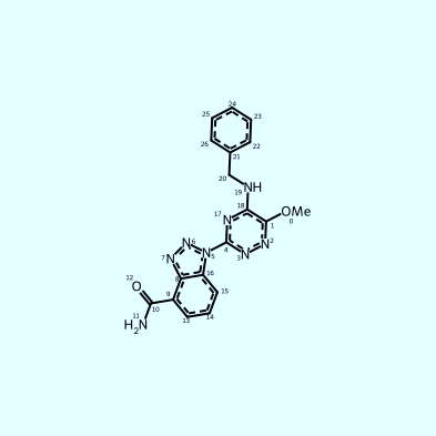 COc1nnc(-n2nnc3c(C(N)=O)cccc32)nc1NCc1ccccc1